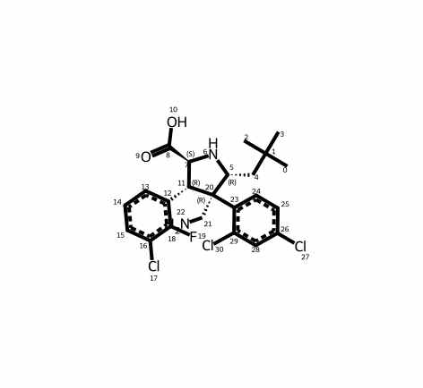 CC(C)(C)C[C@H]1N[C@H](C(=O)O)[C@@H](c2cccc(Cl)c2F)[C@]1(CN)c1ccc(Cl)cc1Cl